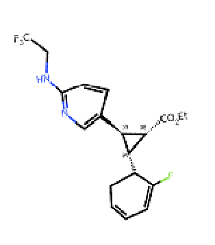 CCOC(=O)[C@H]1[C@H](c2ccc(NCC(F)(F)F)nc2)[C@H]1C1CC=CC=C1F